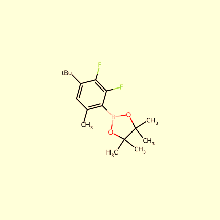 Cc1cc(C(C)(C)C)c(F)c(F)c1B1OC(C)(C)C(C)(C)O1